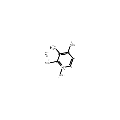 CCCCc1cc[n+](CCCC)c(CCCC)c1C.[Cl-]